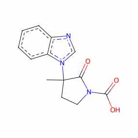 CC1(n2cnc3ccccc32)CCN(C(=O)O)C1=O